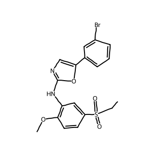 CCS(=O)(=O)c1ccc(OC)c(Nc2ncc(-c3cccc(Br)c3)o2)c1